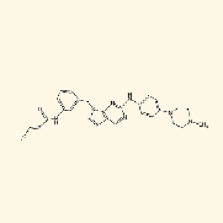 CC=CC(=O)Nc1cccc(Cn2ncc3cnc(Nc4ccc(N5CCN(C)CC5)cc4)nc32)c1